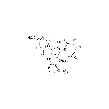 CN(C(=O)c1cnc2c(-c3ccc(C(=O)O)cc3F)nn(C(=O)c3c(Cl)cccc3C(F)(F)F)c2c1)C1CC1